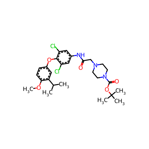 COc1ccc(Oc2c(Cl)cc(NC(=O)CN3CCN(C(=O)OC(C)(C)C)CC3)cc2Cl)cc1C(C)C